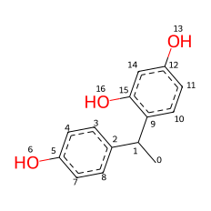 CC(c1ccc(O)cc1)c1ccc(O)cc1O